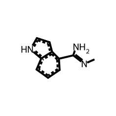 C/N=C(\N)c1cccc2[nH]ccc12